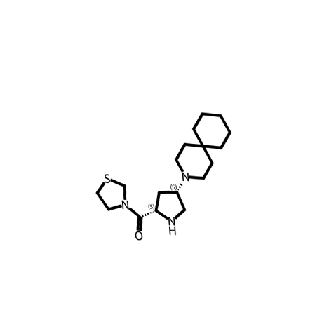 O=C([C@@H]1C[C@H](N2CCC3(CCCCC3)CC2)CN1)N1CCSC1